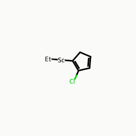 C[CH2][Sc][C]1=C(Cl)C=CC1